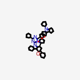 c1ccc(-c2nc(-c3ccccc3)nc(-n3c4ccccc4c4c5oc6ccccc6c5cc(-c5ccc(-c6ccc7c(c6)c6ccccc6n7-c6ccccc6)cc5)c43)n2)cc1